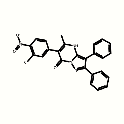 Cc1[nH]c2c(-c3ccccc3)c(-c3ccccc3)nn2c(=O)c1-c1ccc([N+](=O)[O-])c(Cl)c1